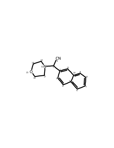 N#CC(c1ccc2ccccc2c1)N1CCOCC1